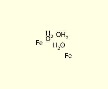 O.O.O.[Fe].[Fe]